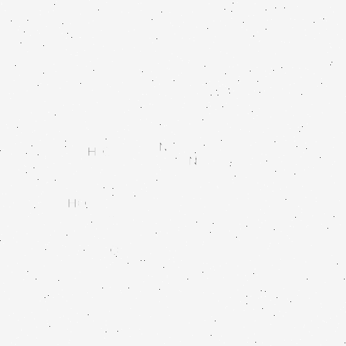 CC1=NN(c2ccccc2)CC=C1C(=O)O